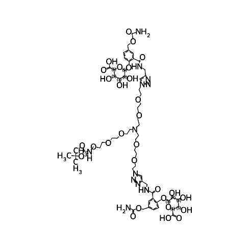 CC(C)(C)OC(=O)NOCCOCCOCCN(CCOCCOCCn1cc(CNC(=O)c2cc(COC(N)=O)ccc2O[C@@H]2O[C@H](C(=O)O)[C@@H](O)[C@H](O)[C@H]2O)nn1)CCOCCOCCn1cc(CNC(=O)c2cc(COC(N)=O)ccc2O[C@@H]2O[C@H](C(=O)O)[C@@H](O)[C@H](O)[C@H]2O)nn1